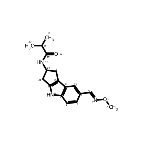 CO/N=C/c1ccc2[nH]c3c(c2c1)CC(NC(=O)C(C)C)C3